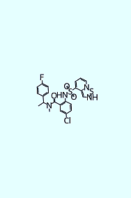 CC(c1ccc(F)cc1)N(C)C(=O)c1cc(Cl)ccc1NS(=O)(=O)C1=CC=CN2SNC=C12